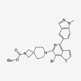 Cn1ncc2cc(-c3nc(N4CCC5(CC4)CN(C(=O)OC(C)(C)C)C5)c(Br)c4sccc34)ccc21